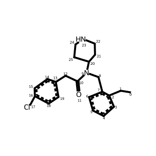 CCc1ccccc1CN(C(=O)Cc1ccc(Cl)cc1)C1CCNCC1